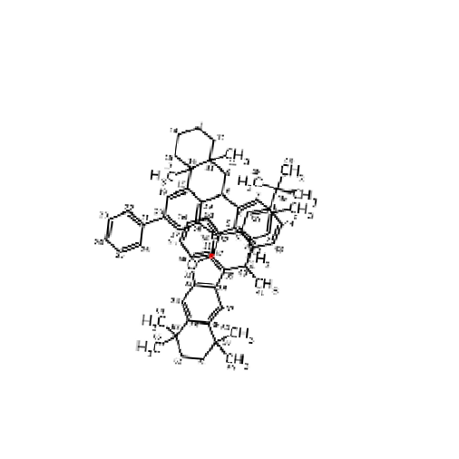 Cc1cc(C)c2c(c1)C1CC3(C)CCCCC3(C)c3cc(-c4ccccc4)cc(c31)B2c1oc2cc3c(cc2c1C(C)c1ccc(C(C)(C)C)cc1-c1ccccc1)C(C)(C)CCC3(C)C